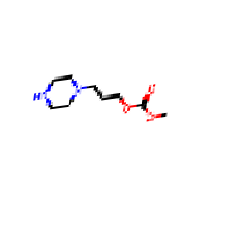 COC(=O)OCCCN1CCNCC1